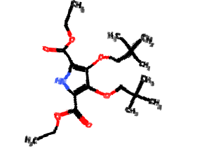 CCOC(=O)c1[nH]c(C(=O)OCC)c(OCC(C)(C)C)c1OCC(C)(C)C